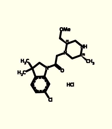 COC[C@H]1CN[C@H](C)CN1CC(=O)N1CC(C)(C)c2ccc(Cl)cc21.Cl